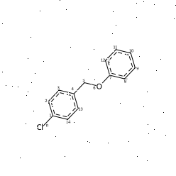 Clc1ccc(COc2[c]cccc2)cc1